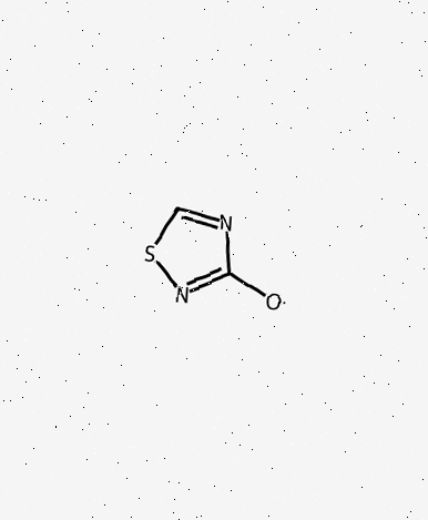 [O]c1ncsn1